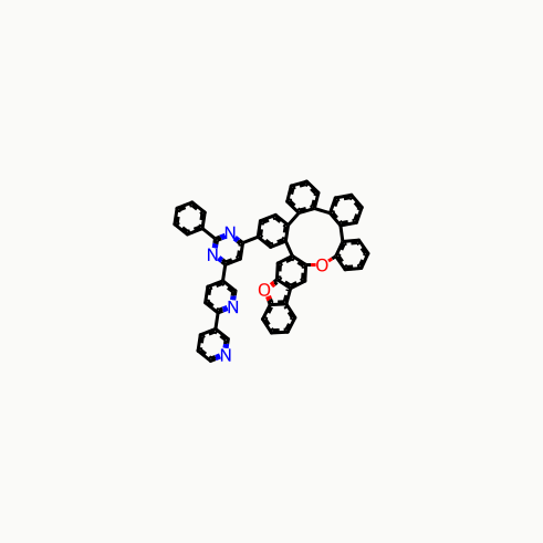 c1ccc(-c2nc(-c3ccc(-c4cccnc4)nc3)cc(-c3ccc4c(c3)-c3cc5oc6ccccc6c5cc3Oc3ccccc3-c3ccccc3-c3ccccc3-4)n2)cc1